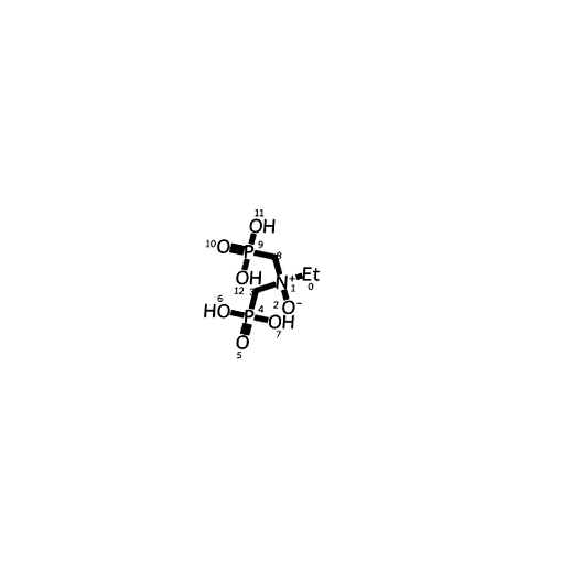 CC[N+]([O-])(CP(=O)(O)O)CP(=O)(O)O